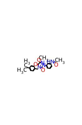 COc1nn(-c2cccc(NC(C)=O)c2)c(=O)n(Cc2ccc(C(C)C)cc2)c1=O